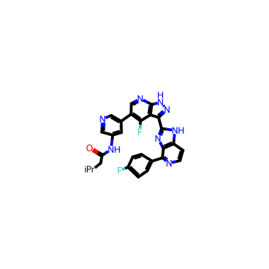 CC(C)CC(=O)Nc1cncc(-c2cnc3[nH]nc(-c4nc5c(-c6ccc(F)cc6)nccc5[nH]4)c3c2F)c1